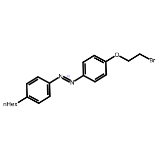 CCCCCCc1ccc(/N=N/c2ccc(OCCBr)cc2)cc1